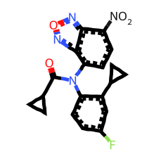 O=C(C1CC1)N(c1ccc(F)cc1C1CC1)c1ccc([N+](=O)[O-])c2nonc12